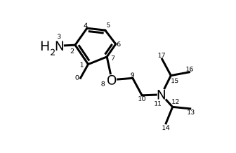 Cc1c(N)cccc1OCCN(C(C)C)C(C)C